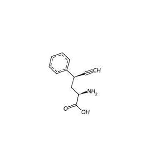 C#C[C@@H](C[C@@H](N)C(=O)O)c1ccccc1